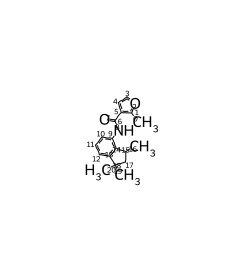 Cc1occc1C(=O)Nc1cccc2c1C(C)CC2(C)C